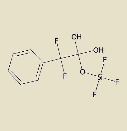 OC(O)(O[Si](F)(F)F)C(F)(F)c1ccccc1